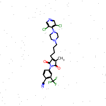 CC1=C(CCCCN2CCN(c3c(Cl)cncc3Cl)CC2)C(=O)N(c2ccc(C#N)c(C(F)(F)F)c2)C1=O